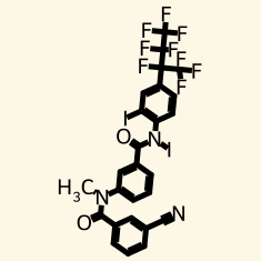 CN(C(=O)c1cccc(C#N)c1)c1cccc(C(=O)N(I)c2ccc(C(F)(C(F)(F)F)C(F)(F)C(F)(F)F)cc2I)c1